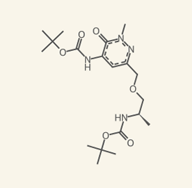 C[C@H](COCc1cc(NC(=O)OC(C)(C)C)c(=O)n(C)n1)NC(=O)OC(C)(C)C